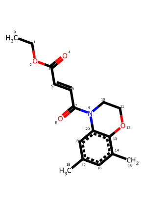 CCOC(=O)C=CC(=O)N1CCOc2c(C)cc(C)cc21